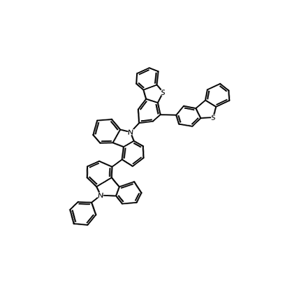 c1ccc(-n2c3ccccc3c3c(-c4cccc5c4c4ccccc4n5-c4cc(-c5ccc6sc7ccccc7c6c5)c5sc6ccccc6c5c4)cccc32)cc1